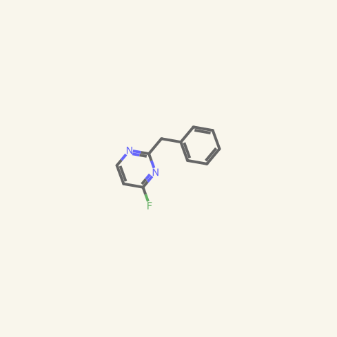 Fc1ccnc(Cc2ccccc2)n1